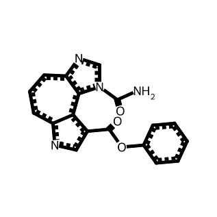 NC(=O)n1cnc2cccc3ncc(C(=O)Oc4ccccc4)c-3c21